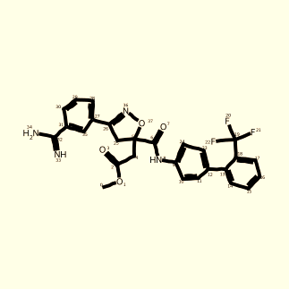 COC(=O)CC1(C(=O)Nc2ccc(-c3ccccc3C(F)(F)F)cc2)CC(c2cccc(C(=N)N)c2)=NO1